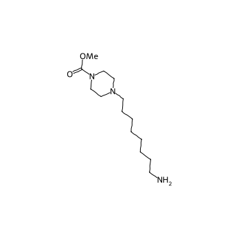 COC(=O)N1CCN(CCCCCCCCN)CC1